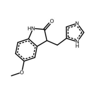 COc1ccc2c(c1)C(Cc1cnc[nH]1)C(=O)N2